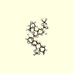 CC(=O)OCc1nc2c(cc1Cc1ccc(F)cc1)N(C(=O)CN1C[C@@H](C)N(C(=O)OC(C)(C)C)C[C@@H]1CN1CCOCC13CC3)[C@@H](C)CO2